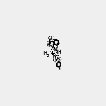 Cc1ccc(S(=O)(=O)ON=C(N)NN=Cc2cccc([N+](=O)[O-])c2[N+](=O)[O-])cc1